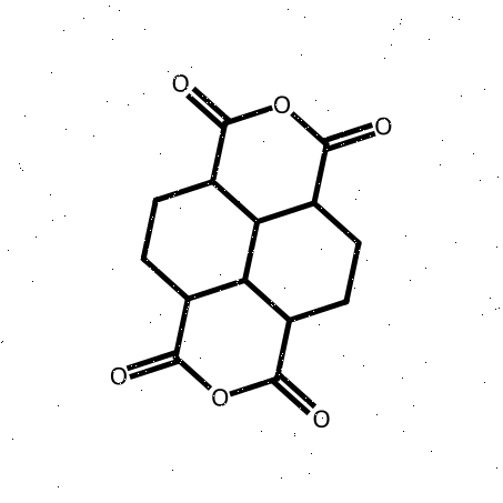 O=C1OC(=O)C2CCC3C(=O)OC(=O)C4CCC1C2C43